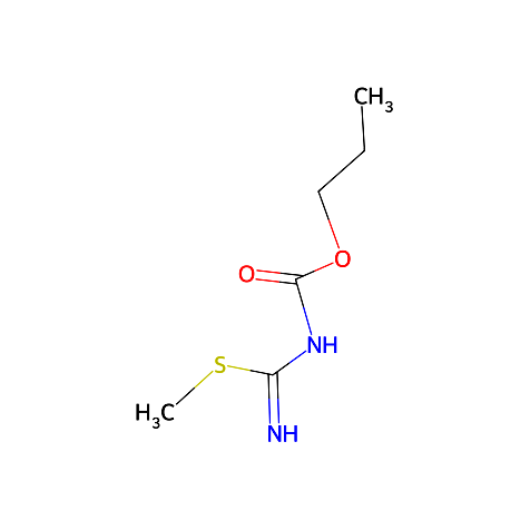 CCCOC(=O)NC(=N)SC